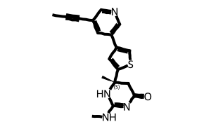 CC#Cc1cncc(-c2csc([C@]3(C)CC(=O)N=C(NC)N3)c2)c1